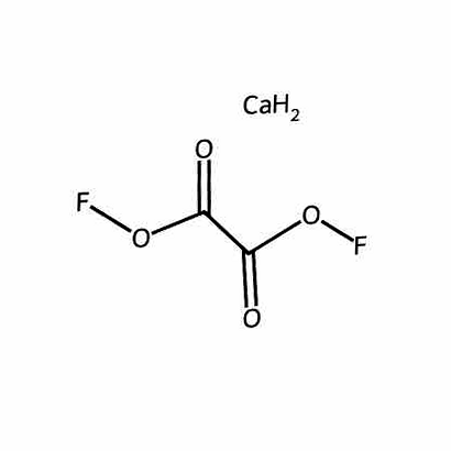 O=C(OF)C(=O)OF.[CaH2]